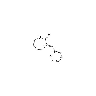 O=C1OCCCCC1=Cc1ccccc1